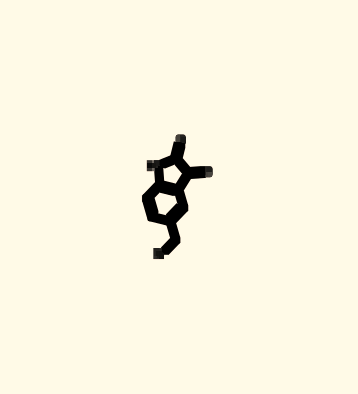 O=C1Nc2ccc(CBr)cc2C1=O